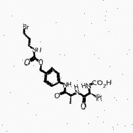 CC(C)[C@H](NC(=O)O)C(=O)N[C@@H](C)C(=O)Nc1ccc(COC(=O)NCCCBr)cc1